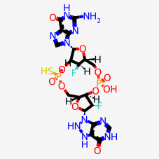 Nc1nc2c(ncn2[C@@H]2O[C@@H]3COP(=O)(O)O[C@H]4[C@H](F)[C@H](N5NNc6c5nc[nH]c6=O)O[C@@H]4COP(=O)(S)O[C@@H]2[C@@H]3F)c(=O)[nH]1